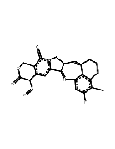 Cc1c(F)cc2c3c1CCCC3=CC1Cn3c(cc4c(c3=O)COC(=O)C4N=O)C1=N2